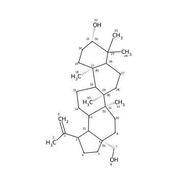 C=C(C)C1CC[C@]2(CO)CC[C@@]3(C)C(CCC4[C@@]5(C)CC[C@H](O)C(C)(C)C5CC[C@]43C)C12